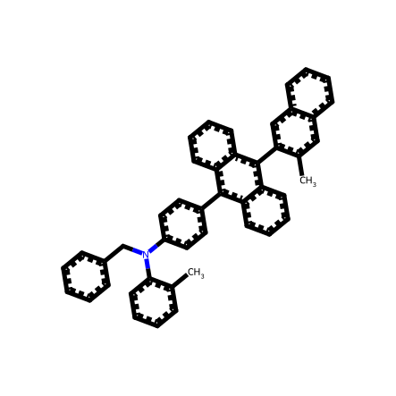 Cc1cc2ccccc2cc1-c1c2ccccc2c(-c2ccc(N(Cc3ccccc3)c3ccccc3C)cc2)c2ccccc12